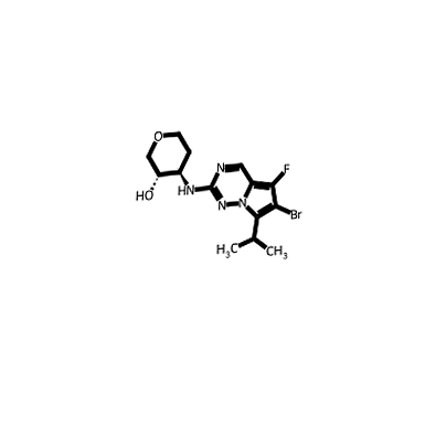 CC(C)c1c(Br)c(F)c2cnc(N[C@@H]3CCOC[C@H]3O)nn12